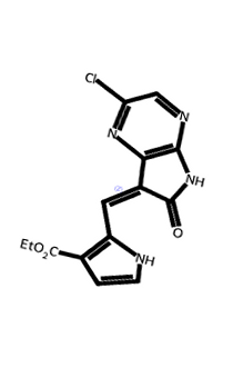 CCOC(=O)c1cc[nH]c1/C=C1\C(=O)Nc2ncc(Cl)nc21